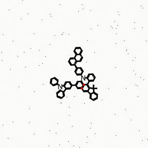 CC1(C)c2ccccc2-c2cccc(-c3ccccc3N(c3ccc(-c4cccc5c4ccc4ccccc45)cc3)c3cccc(-c4ccc5c(c4)c4ccccc4n5-c4ccccc4)c3)c21